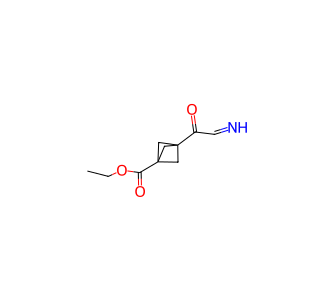 CCOC(=O)C12CC(C(=O)C=N)(C1)C2